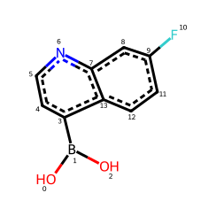 OB(O)c1ccnc2cc(F)ccc12